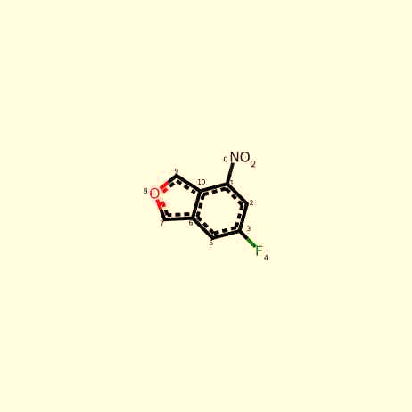 O=[N+]([O-])c1cc(F)cc2cocc12